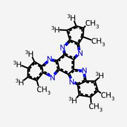 [3H]c1c([3H])c(C)c2nc3c4nc5c([3H])c(C)c(C)c([3H])c5nc4c4nc5c(C)c(C)c([3H])c([3H])c5nc4c3nc2c1[3H]